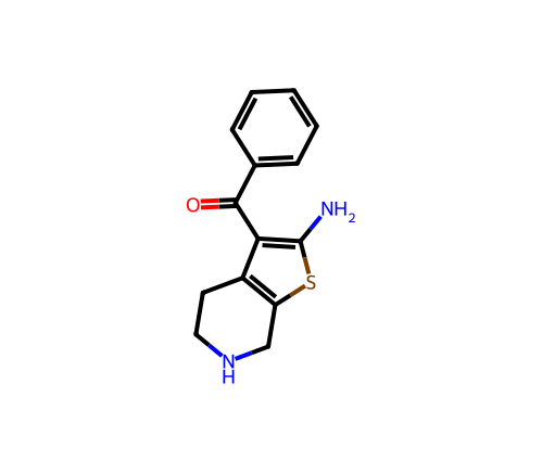 Nc1sc2c(c1C(=O)c1ccccc1)CCNC2